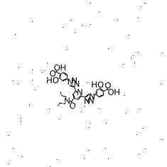 CCCN(CCC)C(=O)c1cc(-c2cn(-c3ccc(C(=O)O)c(O)c3)nn2)nc(-c2cn(-c3ccc(C(=O)O)c(O)c3)nn2)c1